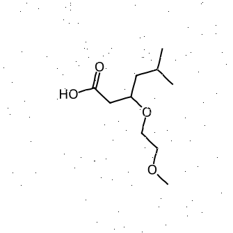 COCCOC(CC(=O)O)CC(C)C